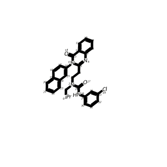 CC(C)CN(CCc1nc2ccccc2c(=O)n1-c1ccc2ccccc2c1)C(=O)Nc1cccc(Cl)c1